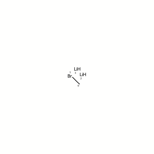 CBr.[LiH].[LiH]